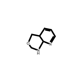 [C]1=CC=NC2NCOCC12